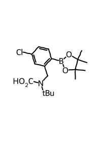 CC(C)(C)N(Cc1cc(Cl)ccc1B1OC(C)(C)C(C)(C)O1)C(=O)O